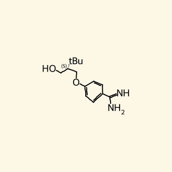 CC(C)(C)[C@@H](CO)COc1ccc(C(=N)N)cc1